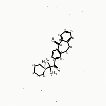 CC(C)(C(=O)c1ccc2c(c1)CCc1ccccc1C2=O)N1CCCCC1